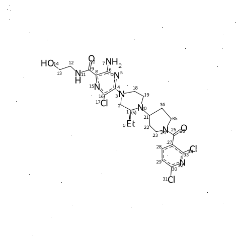 CC[C@H]1CN(c2nc(N)c(C(=O)NCCO)nc2Cl)CCN1C1CCN(C(=O)c2ccc(Cl)nc2Cl)CC1